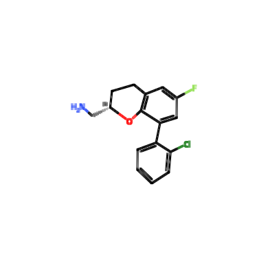 NC[C@@H]1CCc2cc(F)cc(-c3ccccc3Cl)c2O1